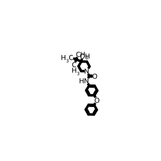 CC(C)(C)C1(O)CCN(C(=O)Nc2ccc(Oc3ccccc3)cc2)CC1